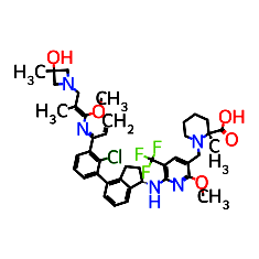 C=C/C(=N\C(OC)=C(/C)CN1CC(C)(O)C1)c1cccc(-c2cccc3c2CC[C@@H]3Nc2nc(OC)c(CN3CCCC[C@]3(C)C(=O)O)cc2C(F)(F)F)c1Cl